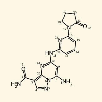 NC(=O)c1cnn2c(N)cc(Nc3cccc(N4CCCC4=O)n3)nc12